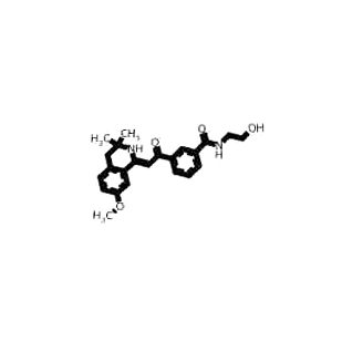 COc1ccc2c(c1)/C(=C/C(=O)c1cccc(C(=O)NCCO)c1)NC(C)(C)C2